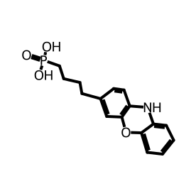 O=P(O)(O)CCCCc1ccc2c(c1)Oc1ccccc1N2